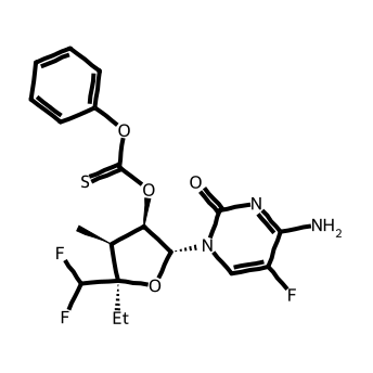 CC[C@@]1(C(F)F)O[C@@H](n2cc(F)c(N)nc2=O)[C@H](OC(=S)Oc2ccccc2)[C@@H]1C